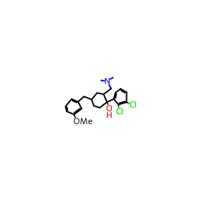 COc1cccc(CC2CCC(O)(c3cccc(Cl)c3Cl)C(CN(C)C)C2)c1